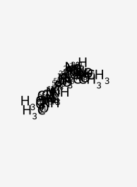 COC(=O)N[C@H](C(=O)N1CCC[C@H]1c1ncc(-c2ccc(-c3ccc(-c4cnc([C@@H]5CCCN5C(=O)[C@@H](NC(=O)OC)C(C)C)[nH]4)c4ccoc34)cc2)[nH]1)C(C)C